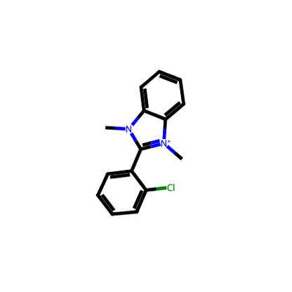 Cn1c(-c2ccccc2Cl)[n+](C)c2ccccc21